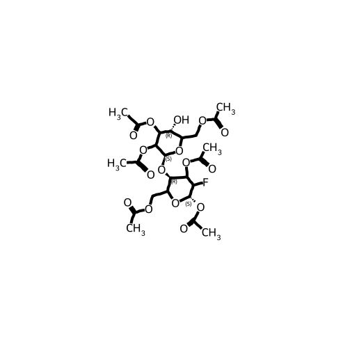 CC(=O)OCC1O[C@@H](O[C@@H]2C(COC(C)=O)O[C@@H](OC(C)=O)C(F)C2OC(C)=O)C(OC(C)=O)C(OC(C)=O)[C@@H]1O